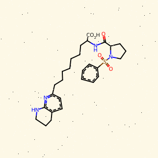 O=C(O)C(CCCCCCCc1ccc2c(n1)NCCC2)NC(=O)C1CCCN1S(=O)(=O)c1ccccc1